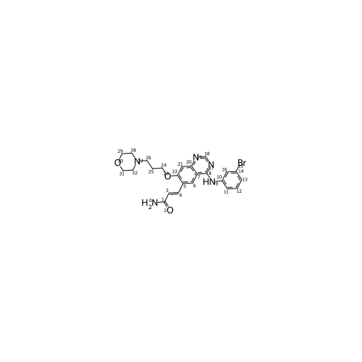 NC(=O)C=Cc1cc2c(Nc3cccc(Br)c3)ncnc2cc1OCCCN1CCOCC1